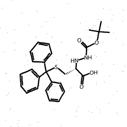 CC(C)(C)OC(=O)NN[C@@H](CSC(c1ccccc1)(c1ccccc1)c1ccccc1)C(=O)O